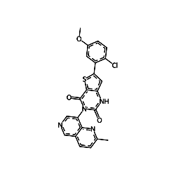 COc1ccc(Cl)c(-c2cc3[nH]c(=O)n(-c4cncc5ccc(C)nc45)c(=O)c3s2)c1